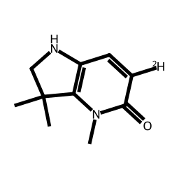 [2H]c1cc2c(n(C)c1=O)C(C)(C)CN2